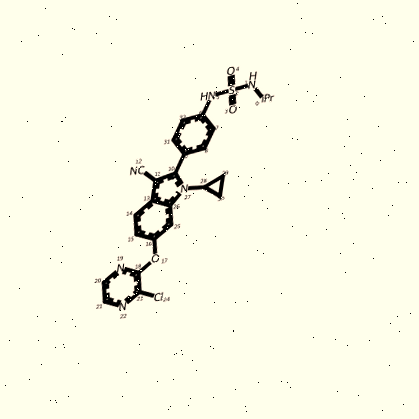 CC(C)NS(=O)(=O)Nc1ccc(-c2c(C#N)c3ccc(Oc4nccnc4Cl)cc3n2C2CC2)cc1